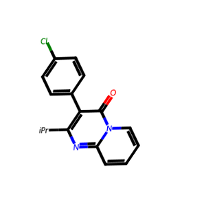 CC(C)c1nc2ccccn2c(=O)c1-c1ccc(Cl)cc1